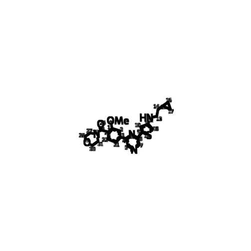 COc1cc(-c2cncc(-c3cc(NCCC4CC4)cs3)n2)ccc1C(=O)N1CCOCC1